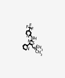 CN(C)Cc1sc(Nc2cc(C(F)(F)F)ccn2)nc1-c1ccccn1